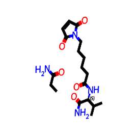 CC(C)[C@H](NC(=O)CCCCCN1C(=O)C=CC1=O)C(N)=O.CCC(N)=O